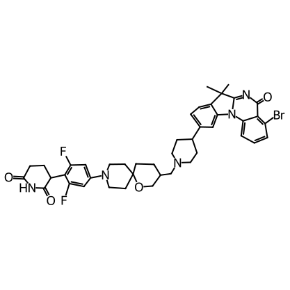 CC1(C)c2ccc(C3CCN(CC4CCC5(CCN(c6cc(F)c(C7CCC(=O)NC7=O)c(F)c6)CC5)OC4)CC3)cc2-n2c1nc(=O)c1c(Br)cccc12